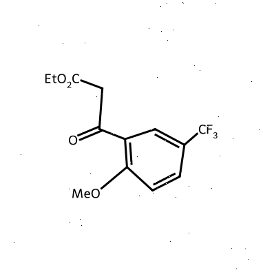 CCOC(=O)CC(=O)c1cc(C(F)(F)F)ccc1OC